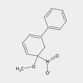 COC1([N+](=O)[O-])C=CC=C(c2ccccc2)C1